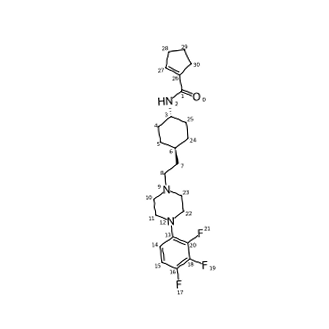 O=C(N[C@H]1CC[C@H](CCN2CCN(c3ccc(F)c(F)c3F)CC2)CC1)C1=CCCC1